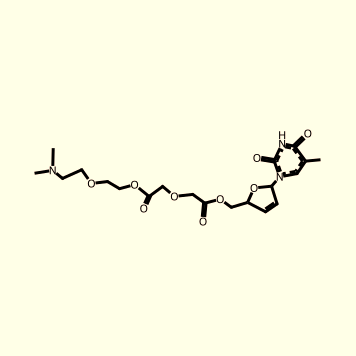 Cc1cn(C2C=CC(COC(=O)COCC(=O)OCCOCCN(C)C)O2)c(=O)[nH]c1=O